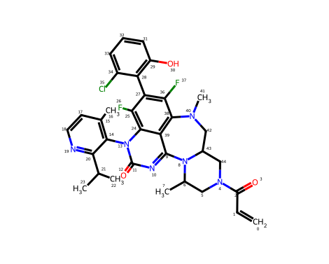 C=CC(=O)N1CC(C)N2c3nc(=O)n(-c4c(C)ccnc4C(C)C)c4c(F)c(-c5c(O)cccc5Cl)c(F)c(c34)N(C)CC2C1